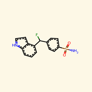 NS(=O)(=O)c1ccc(C(F)c2cccc3[nH]ccc23)cc1